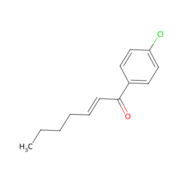 CCCC/C=C/C(=O)c1ccc(Cl)cc1